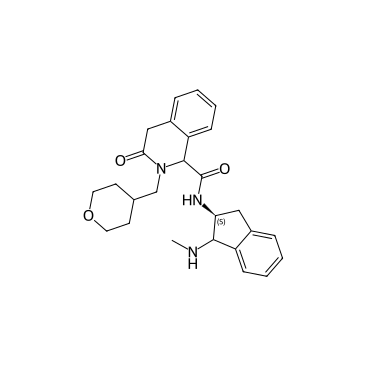 CNC1c2ccccc2C[C@@H]1NC(=O)C1c2ccccc2CC(=O)N1CC1CCOCC1